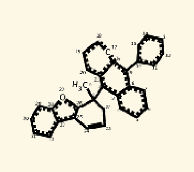 CC1(c2c3ccccc3c(-c3ccccc3)c3ccccc23)CC=Cc2c1oc1ccccc21